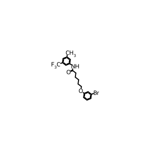 Cc1cc(NC(=O)CCCCCOc2cccc(Br)c2)cc(C(F)(F)F)c1